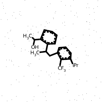 CC(C)c1cccc(CC(C)c2ccccc2C(C)O)c1C(F)(F)F